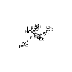 CC[Si](CC)(CC)OC(C=C[C@@H]1[C@@H](CC=CCCCC(=O)OC(C)C)[C@H](O)C(O)[C@@H]1O[Si](CC)(CC)CC)COc1cccc(C(F)(F)F)c1